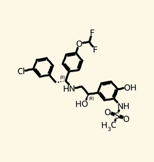 CS(=O)(=O)Nc1cc([C@@H](O)CN[C@H](Cc2cccc(Cl)c2)c2ccc(OC(F)F)cc2)ccc1O